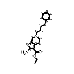 CCOC(=O)c1c(N)sc2c1CCN(CCCCc1ccccc1)C2